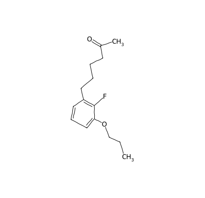 CCCOc1cccc(CCCCC(C)=O)c1F